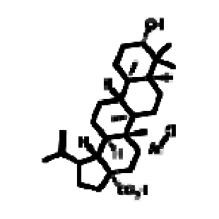 C=C(C)[C@@H]1CC[C@]2(C(=O)O)CC[C@]3(C)[C@H](CC[C@@H]4[C@@]5(C)CC[C@H](O)C(C)(C)[C@@H]5CC[C@]43C)[C@@H]12.CC(=O)Cl